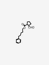 O=[C]N1CCCC1C(=O)OCCCCCc1ccccc1